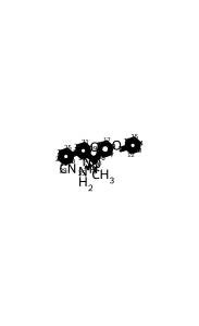 CN1OC2(CC3(CCC(OCc4ccccc4)CC3)Oc3ccc(-c4cccc(C#N)c4)cc32)N=C1N